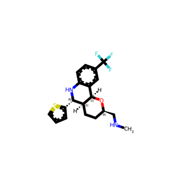 CNC[C@H]1CC[C@@H]2[C@H](O1)c1cc(C(F)(F)F)ccc1N[C@H]2c1cccs1